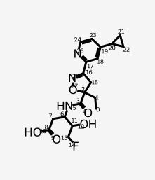 CCC1(C(=O)NC(CC(=O)O)C(O)CF)CC(c2cc(C3CC3)ccn2)=NO1